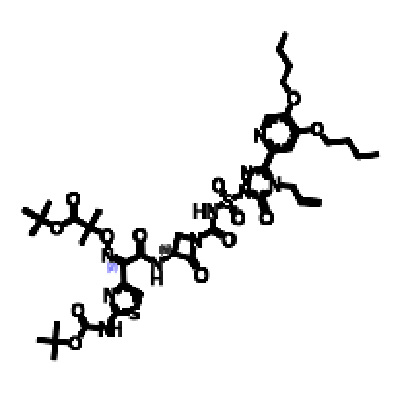 C=CCn1c(-c2cc(OCCCC)c(OCCCC)cn2)nn(S(=O)(=O)NC(=O)N2C[C@H](NC(=O)/C(=N\OC(C)(C)C(=O)OC(C)(C)C)c3csc(NC(=O)OC(C)(C)C)n3)C2=O)c1=O